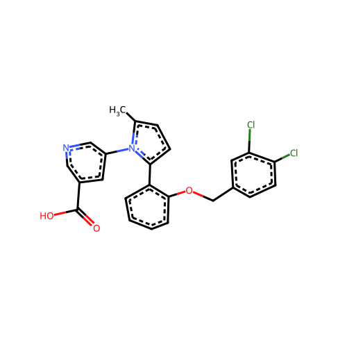 Cc1ccc(-c2ccccc2OCc2ccc(Cl)c(Cl)c2)n1-c1cncc(C(=O)O)c1